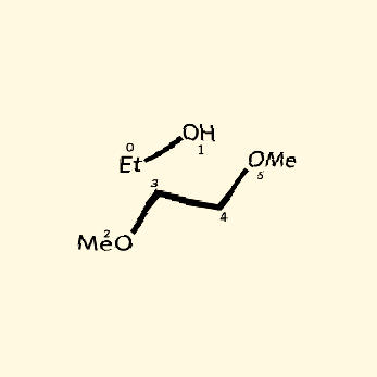 CCO.COCCOC